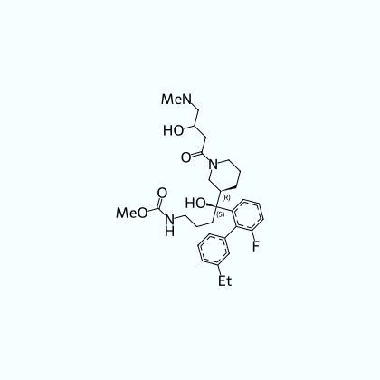 CCc1cccc(-c2c(F)cccc2[C@](O)(CCCNC(=O)OC)[C@@H]2CCCN(C(=O)CC(O)CNC)C2)c1